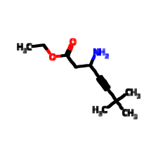 CCOC(=O)CC(N)C#CC(C)(C)C